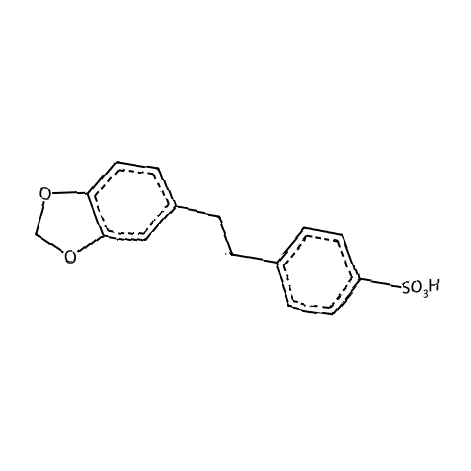 O=S(=O)(O)c1ccc([CH]Cc2ccc3c(c2)OCO3)cc1